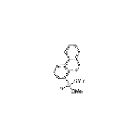 CC[Si](OC)(OC)c1cccc2c1ccc1ccccc12